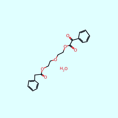 O.O=C(Cc1ccccc1)OCCOCCOC(=O)C(=O)c1ccccc1